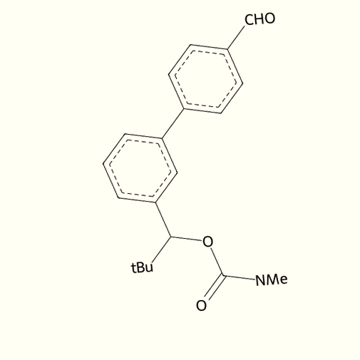 CNC(=O)OC(c1cccc(-c2ccc(C=O)cc2)c1)C(C)(C)C